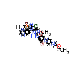 CCOC1CN(C2CCN(c3cc(OC)c(Nc4ncc(Cl)c(Nc5ccc6nccnc6c5P(C)(C)=O)n4)cc3Br)CC2)C1